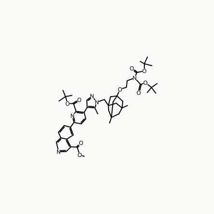 COC(=O)c1cncc2ccc(-c3ccc(-c4cnn(CC56CC7(C)CC(C)(C5)CC(OCCN(C(=O)OC(C)(C)C)C(=O)OC(C)(C)C)(C7)C6)c4C)c(C(=O)OC(C)(C)C)n3)cc12